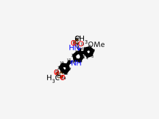 COc1cccc([C@]2(CNS(C)(=O)=O)CC[C@@H](NCc3ccc(S(C)(=O)=O)cc3)CC2)c1